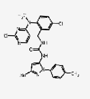 Cc1ccc(-n2nc(C(C)(C)C)cc2NC(=O)NCc2cc(Cl)ccc2N(C)c2ccnc(Cl)n2)cc1